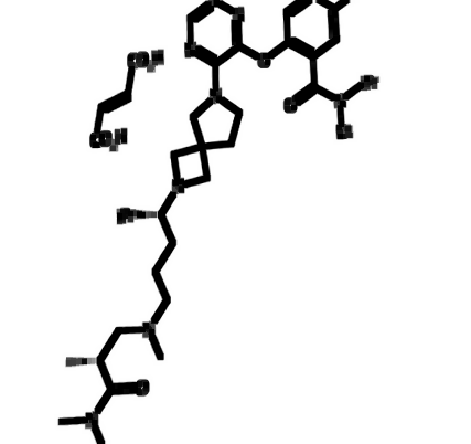 CCN(C(=O)c1cc(F)ccc1Oc1nncnc1N1CCC2(C1)CN([C@H](CCCN(C)C[C@@H](C)C(=O)N(C)C)C(C)C)C2)C(C)C.O=C(O)/C=C/C(=O)O